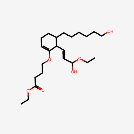 CCOC(=O)CCCOC1=CCCC(CCCCCCO)C1/C=C/C(O)OCC